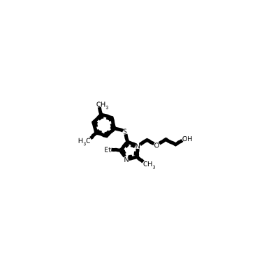 CCc1nc(C)n(COCCO)c1Sc1cc(C)cc(C)c1